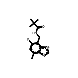 Cc1cc(F)c(CNC(=O)C(C)(C)C)c2[nH]cnc12